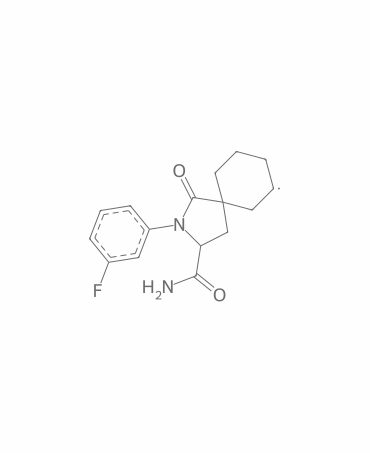 NC(=O)C1CC2(C[CH]CCC2)C(=O)N1c1cccc(F)c1